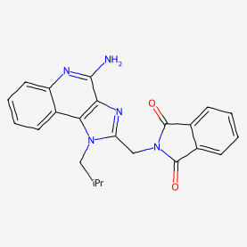 CC(C)Cn1c(CN2C(=O)c3ccccc3C2=O)nc2c(N)nc3ccccc3c21